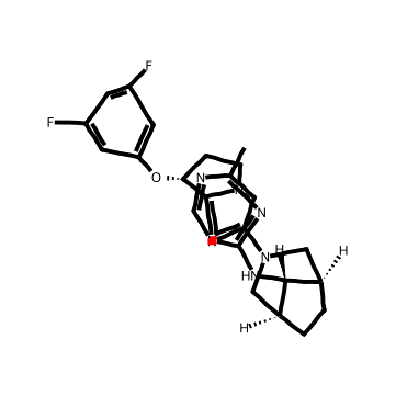 Cc1cc(N2C[C@H]3CC[C@@H](C2)[C@@H]3Nc2nc3n(n2)CC[C@H]3Oc2cc(F)cc(F)c2)ncn1